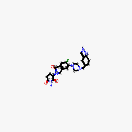 Cn1cc2cc(CN3CCN(c4cc5c(cc4F)C(=O)N(C4CCC(=O)NC4=O)C5)CC3)ccc2n1